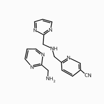 N#Cc1ccc(CNCc2ncccn2)nc1.NCc1ncccn1